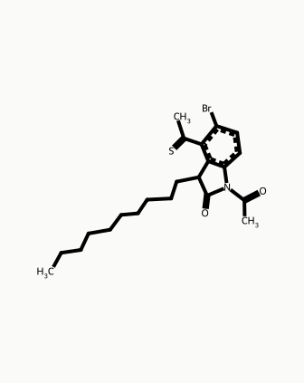 CCCCCCCCCCC1C(=O)N(C(C)=O)c2ccc(Br)c(C(C)=S)c21